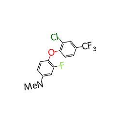 CNc1ccc(Oc2ccc(C(F)(F)F)cc2Cl)c(F)c1